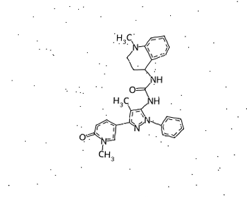 Cc1c(-c2ccc(=O)n(C)c2)nn(-c2ccccc2)c1NC(=O)NC1CCN(C)c2ccccc21